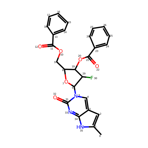 Cc1cc2cn(C3OC(COC(=O)c4ccccc4)C(OC(=O)c4ccccc4)C3F)c(=O)nc2[nH]1